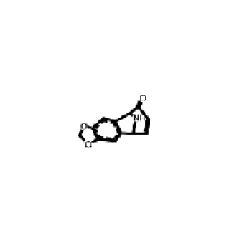 O=C1C=CC2NC1c1cc3c(cc12)OCO3